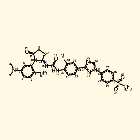 CCCc1ccc(N(C)C)cc1N1C(=O)CS/C1=N\C(=O)Nc1ccc(-c2ncn(-c3ccc(S(=O)(=O)C(F)(F)F)cc3)n2)cc1F